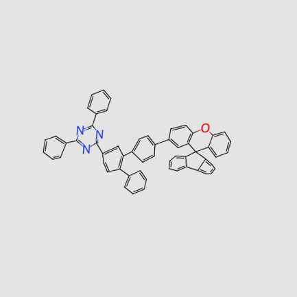 c1ccc(-c2nc(-c3ccccc3)nc(-c3ccc(-c4ccccc4)c(-c4ccc(-c5ccc6c(c5)C5(c7ccccc7O6)c6ccccc6-c6ccccc65)cc4)c3)n2)cc1